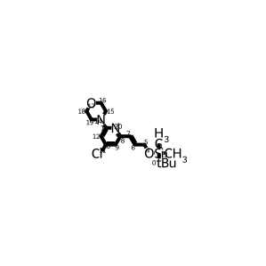 CC(C)(C)[Si](C)(C)OC/C=C/c1cc(Cl)cc(N2CCOCC2)n1